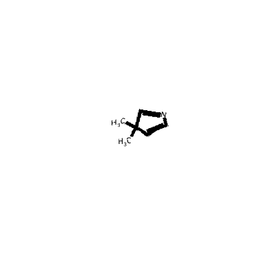 CC1(C)C=[C]N=C1